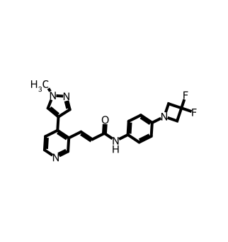 Cn1cc(-c2ccncc2C=CC(=O)Nc2ccc(N3CC(F)(F)C3)cc2)cn1